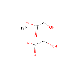 O=C([O-])CO.O=C([O-])CO.[Fe+2]